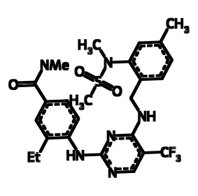 CCc1cc(C(=O)NC)ccc1Nc1ncc(C(F)(F)F)c(NCc2ccc(C)cc2N(C)S(C)(=O)=O)n1